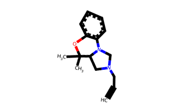 C#CCN1CC2N(C1)c1ccccc1OC2(C)C